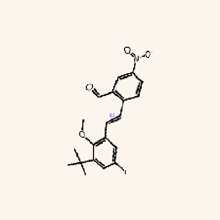 COc1c(/C=C/c2ccc([N+](=O)[O-])cc2C=O)cc(I)cc1C(C)(C)C